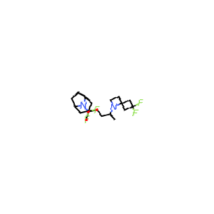 CC(CCC(C)N1CCC12CC(F)(F)C2)N1C2CCC1CC(F)(F)C2